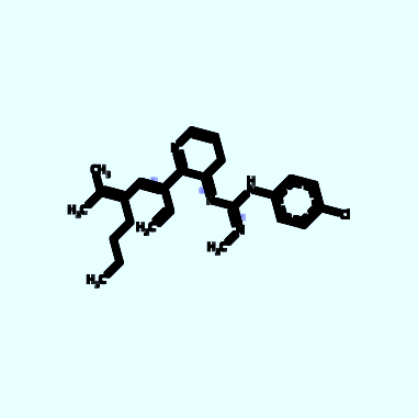 C=C/C(=C\C(CCCC)=C(C)C)C1=NC=CC/C1=N\C(=N/C)Nc1ccc(Cl)cc1